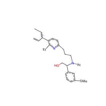 C=C/C(=C\C)c1ccc(CCCN(C(C)=O)C(CO)c2cccc(OC)c2)nc1CC